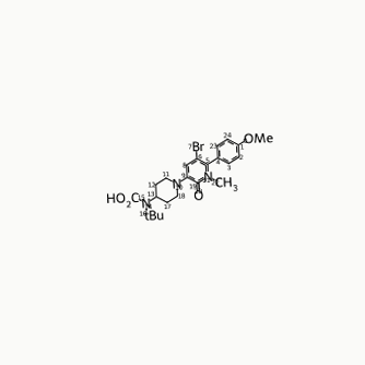 COc1ccc(-c2c(Br)cc(N3CCC(N(C(=O)O)C(C)(C)C)CC3)c(=O)n2C)cc1